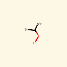 CC[CH]C(CC)O[O]